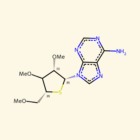 COC[C@H]1S[C@@H](n2cnc3c(N)ncnc32)[C@@H](OC)C1OC